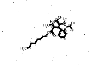 CCCCCCCCOC(=O)C1=C(C)NC(C)=C([N+](=O)[O-])C1c1ccccc1OC(F)F